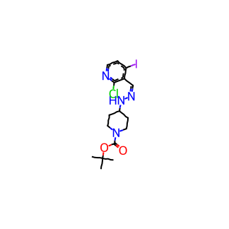 CC(C)(C)OC(=O)N1CCC(N/N=C\c2c(I)ccnc2Cl)CC1